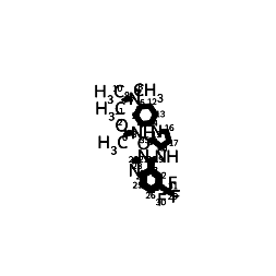 CC(=O)NC1CC(N(C)C(C)C)CCC1N1CC[C@H](Nc2ncnc3ccc(C(F)(F)F)cc23)C1=O